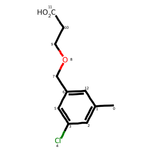 Cc1cc(Cl)cc(COCCC(=O)O)c1